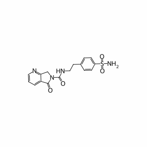 NS(=O)(=O)c1ccc(CCNC(=O)N2Cc3ncccc3C2=O)cc1